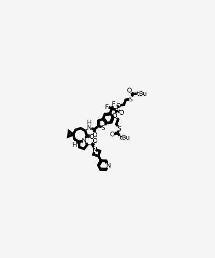 CC(C)(C)C(=O)SCCOP(=O)(OCCSC(=O)C(C)(C)C)C(F)(F)c1ccc2sc(C(=O)N[C@H]3CCC4(CC4)C[C@H]4CC[C@@H](C(=O)N5CC(c6cccnc6)C5)N4C3=O)cc2c1